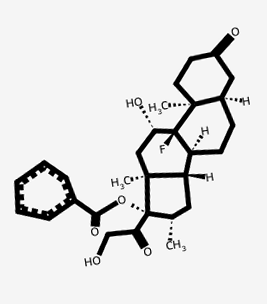 C[C@H]1C[C@H]2[C@@H]3CC[C@@H]4CC(=O)CC[C@]4(C)[C@@]3(F)[C@@H](O)C[C@]2(C)[C@]1(OC(=O)c1ccccc1)C(=O)CO